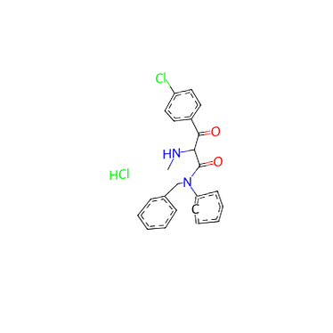 CNC(C(=O)c1ccc(Cl)cc1)C(=O)N(Cc1ccccc1)c1ccccc1.Cl